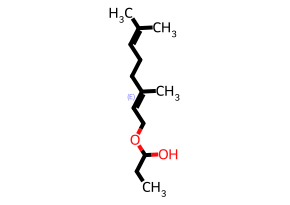 CCC(O)OC/C=C(\C)CCC=C(C)C